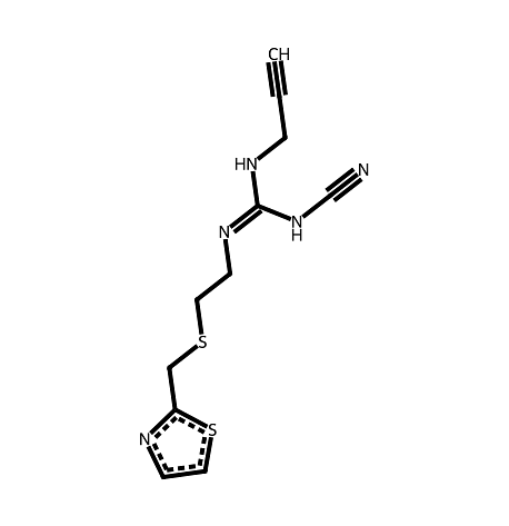 C#CCN/C(=N/CCSCc1nccs1)NC#N